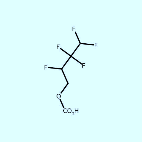 O=C(O)OCC(F)C(F)(F)C(F)F